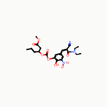 CCCC(CC(=O)OC)OC(=O)Oc1cc(C=C(C#N)C(=O)N(CC)CC)cc([N+](=O)[O-])c1O